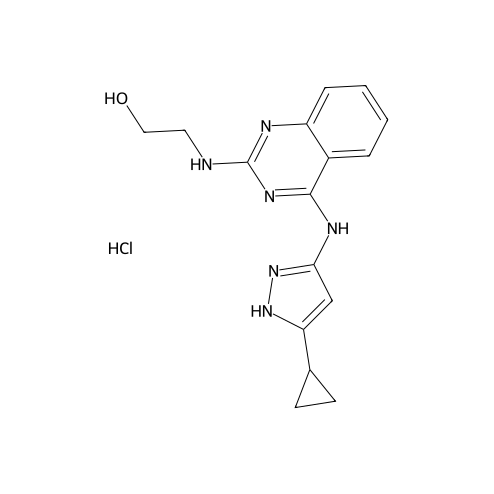 Cl.OCCNc1nc(Nc2cc(C3CC3)[nH]n2)c2ccccc2n1